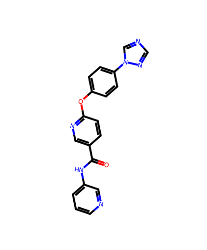 O=C(Nc1cccnc1)c1ccc(Oc2ccc(-n3cncn3)cc2)nc1